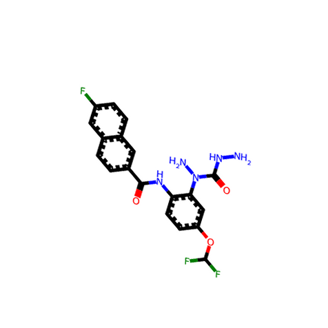 NNC(=O)N(N)c1cc(OC(F)F)ccc1NC(=O)c1ccc2cc(F)ccc2c1